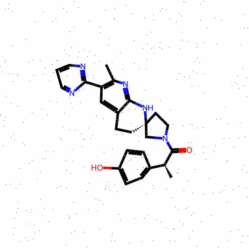 Cc1nc2c(cc1-c1ncccn1)CC[C@@]1(CCN(C(=O)[C@@H](C)c3ccc(O)cc3)C1)N2